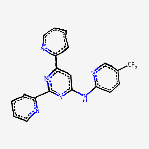 FC(F)(F)c1ccc(Nc2cc(-c3ccccn3)nc(-c3ccccn3)n2)nc1